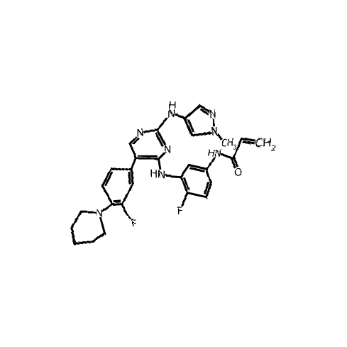 C=CC(=O)Nc1ccc(F)c(Nc2nc(Nc3cnn(C)c3)ncc2-c2ccc(N3CCCCC3)c(F)c2)c1